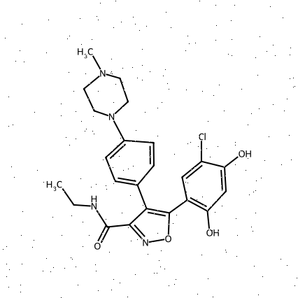 CCNC(=O)c1noc(-c2cc(Cl)c(O)cc2O)c1-c1ccc(N2CCN(C)CC2)cc1